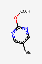 CCCCc1cnc(OC(=O)O)nc1